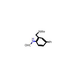 CNCc1cc(C(C)C)ccc1NC=O